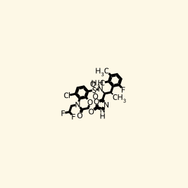 Cc1ccc(F)c([C@@H](C)[C@H](NS(=O)(=O)c2ccc(Cl)c3c2OCC(=O)N3CC(F)F)c2n[nH]c(=O)o2)c1C